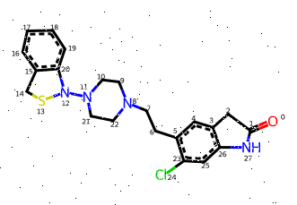 O=C1Cc2cc(CCN3CCN(N4SCc5ccccc54)CC3)c(Cl)cc2N1